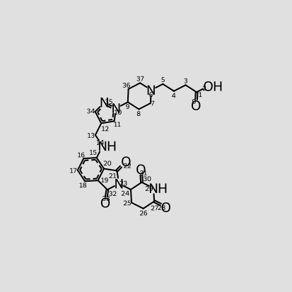 O=C(O)CCCN1CCC(n2cc(CNc3cccc4c3C(=O)N(C3CCC(=O)NC3=O)C4=O)cn2)CC1